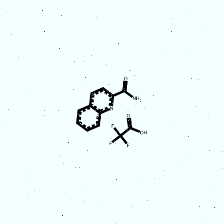 NC(=O)c1ccc2ccccc2n1.O=C(O)C(F)(F)F